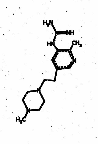 Cc1ncc(CCN2CCN(C)CC2)cc1NC(=N)N